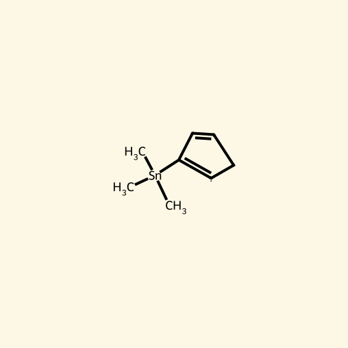 [CH3][Sn]([CH3])([CH3])[C]1=[C]CC=C1